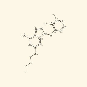 CCCCSc1nc(N)c2ncn(Cc3cccc(C)c3F)c2n1